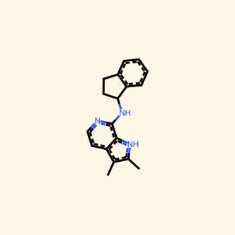 Cc1[nH]c2c(NC3CCc4ccccc43)nccc2c1C